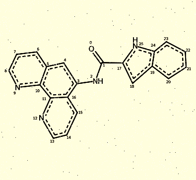 O=C(Nc1cc2cccnc2c2ncccc12)c1cc2ccccc2[nH]1